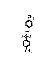 Cc1ccc(COS(=O)(=S)c2ccc(C)cc2)cc1